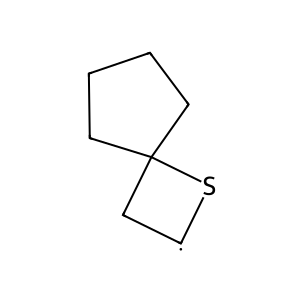 [CH]1CC2(CCCC2)S1